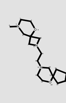 CN1CCOC2(C1)CN(CCN1CCOC3(CCCC3)C1)C2